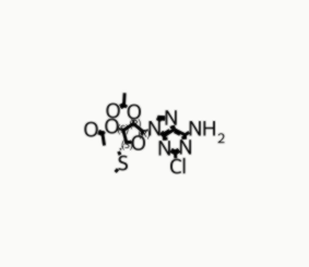 CSC[C@H]1O[C@@H](n2cnc3c(N)nc(Cl)nc32)[C@H](OC(C)=O)[C@@H]1OC(C)=O